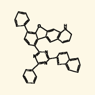 C1=Cc2cc3c(cc2NC1)oc1c(-c2ccccc2)ccc(-c2nc(-c4ccccc4)nc(-c4ccc5ccccc5c4)n2)c13